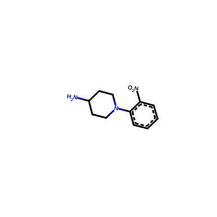 NC1CCN(c2ccccc2[N+](=O)[O-])CC1